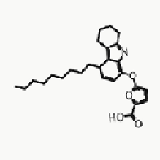 CCCCCCCCCC1C=CC(Oc2ccc(C(=O)O)o2)=C2N=C3CCCCC3=C21